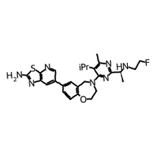 Cc1nc([C@H](C)NCCF)nc(N2CCOc3ccc(-c4cnc5sc(N)nc5c4)cc3C2)c1C(C)C